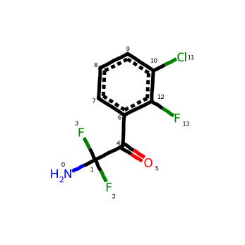 NC(F)(F)C(=O)c1cccc(Cl)c1F